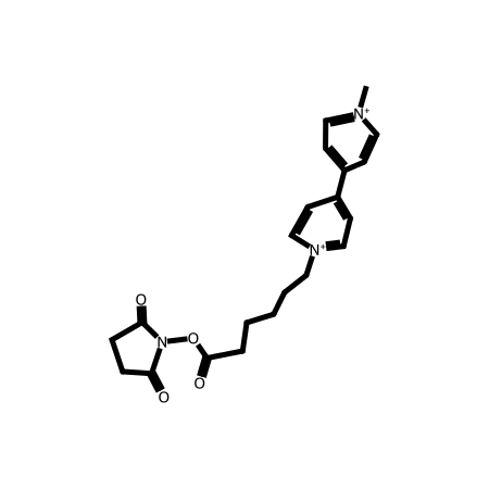 C[n+]1ccc(-c2cc[n+](CCCCCC(=O)ON3C(=O)CCC3=O)cc2)cc1